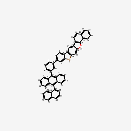 c1cc(-c2ccc3c(c2)sc2cc4oc5c6ccccc6ccc5c4cc23)cc(-c2c3ccccc3c(-c3cccc4ccccc34)c3ccccc23)c1